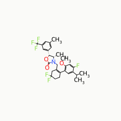 COc1cc(F)c(C(C)C)cc1C1=C(CN2C(=O)O[C@H](c3cc(C)cc(C(F)(F)F)c3)[C@@H]2C)CC(F)(F)CC1